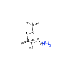 C=C(C)CCC(=C)[C@@H](C)CN